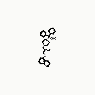 O=CC(c1ccccc1)(c1ccccc1)N1CCN(CC(O)COc2cccc3ncccc23)CC1